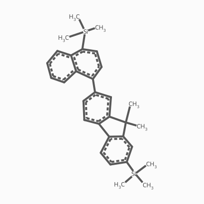 CC1(C)c2cc(-c3ccc([Si](C)(C)C)c4ccccc34)ccc2-c2ccc([Si](C)(C)C)cc21